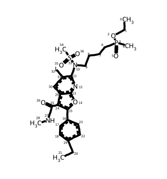 CCOP(C)(=O)CCCCN(c1nc2oc(-c3ccc(CC)cc3)c(C(=O)NC)c2cc1I)S(C)(=O)=O